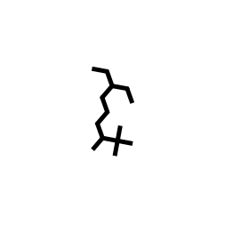 CCC(CC)CCCC(C)C(C)(C)C